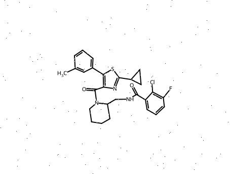 Cc1cccc(-c2sc(C3CC3)nc2C(=O)N2CCCCC2CNC(=O)c2cccc(F)c2Cl)c1